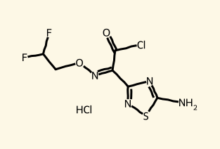 Cl.Nc1nc(C(=NOCC(F)F)C(=O)Cl)ns1